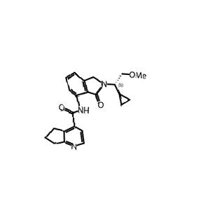 COC[C@H](C1CC1)N1Cc2cccc(NC(=O)c3ccnc4c3CCC4)c2C1=O